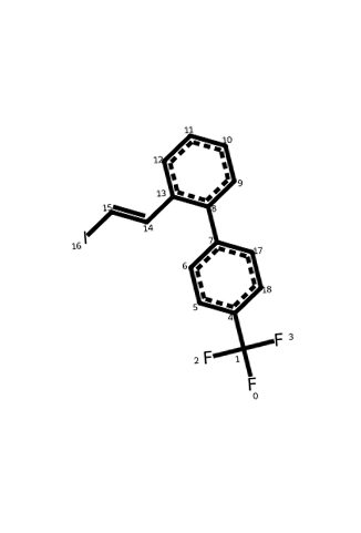 FC(F)(F)c1ccc(-c2ccccc2C=CI)cc1